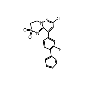 O=S1(=O)CCN2N=C(Cl)C=C(c3ccc(-c4ccccc4)c(F)c3)C2=N1